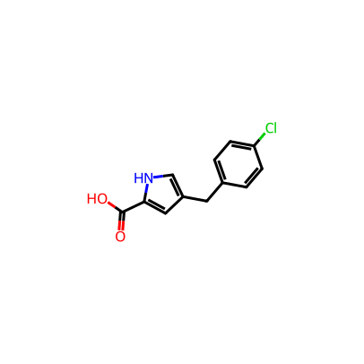 O=C(O)c1cc(Cc2ccc(Cl)cc2)c[nH]1